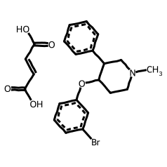 CN1CCC(Oc2cccc(Br)c2)C(c2ccccc2)C1.O=C(O)C=CC(=O)O